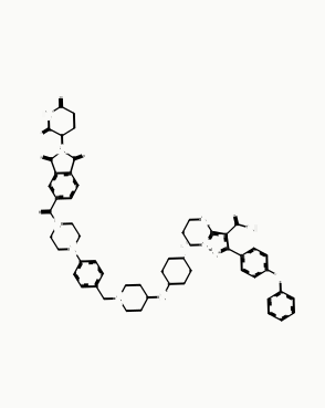 NC(=O)c1c(-c2ccc(Oc3ccccc3)cc2)nn2c1NCC[C@H]2C1CCC(NC2CCN(Cc3ccc(N4CCN(C(=O)c5ccc6c(c5)C(=O)N(C5CCC(=O)NC5=O)C6=O)CC4)cc3)CC2)CC1